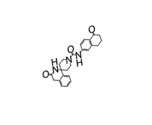 O=C1Cc2ccccc2C2(CCN(C(=O)Nc3ccc4c(c3)CCCC4=O)CC2)N1